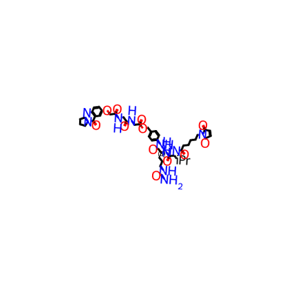 CC(C)C(NC(=O)CCCCCN1C(=O)C=CC1=O)C(=O)N[C@@H](CCCNC(N)=O)C(=O)Nc1ccc(COC(=O)CNC(=O)CNC(=O)COc2ccc3nc4n(c(=O)c3c2)CCC4)cc1